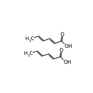 CC=CC=CC(=O)O.CC=CC=CC(=O)O